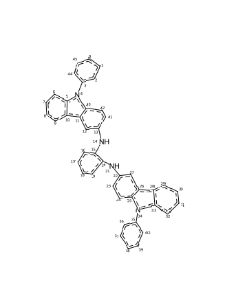 c1ccc(-n2c3ccccc3c3cc(Nc4ccccc4Nc4ccc5c(c4)c4ccccc4n5-c4ccccc4)ccc32)cc1